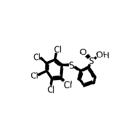 O=S(O)c1ccccc1Sc1c(Cl)c(Cl)c(Cl)c(Cl)c1Cl